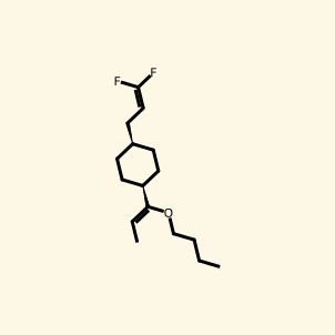 CC=C(OCCCC)[C@H]1CC[C@@H](CC=C(F)F)CC1